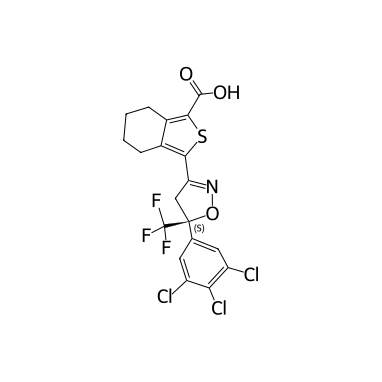 O=C(O)c1sc(C2=NO[C@@](c3cc(Cl)c(Cl)c(Cl)c3)(C(F)(F)F)C2)c2c1CCCC2